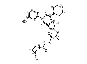 CN(Cc1cc2nc(-c3cccc(O)c3)nc(N3CCOCC3)c2s1)C(=O)CCC(=O)N1CCC1=O